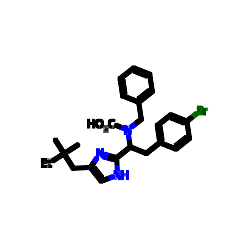 CCC(C)(C)Cc1c[nH]c(C(Cc2ccc(Br)cc2)N(Cc2ccccc2)C(=O)O)n1